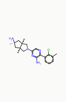 Cc1cccc(-c2ncc(N3C[C@@H]4C[C@@](C)(N)C[C@@H]4C3)nc2N)c1Cl